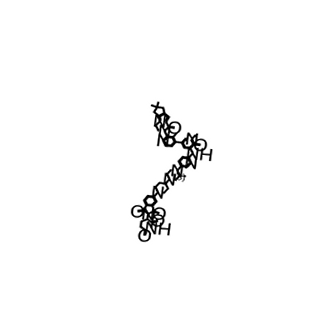 Cc1c(-c2cc(Nc3ccc(N4CCN(C5CCN(c6ccc7c(c6)C(=O)N(C6CCC(=O)NC6=O)C7=O)CC5)C[C@@H]4C)cn3)c(=O)n(C)c2)ccnc1N1CCn2c(cc3c2CC(C)(C)C3)C1=O